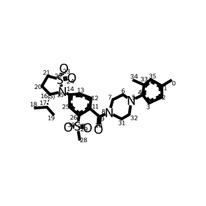 Cc1ccc(N2CCN(C(=O)c3ccc(N4[C@H](C(C)C)CCS4(=O)=O)cc3S(C)(=O)=O)CC2)c(C)c1